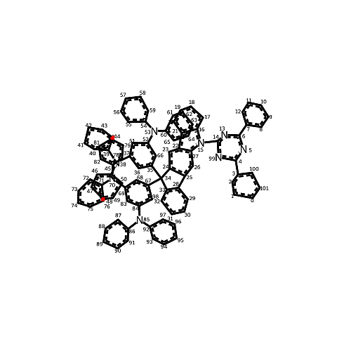 c1ccc(-c2nc(-c3ccccc3)nc(-n3c4ccccc4c4cc5c(cc43)-c3ccccc3C5(c3cc(N(c4ccccc4)c4ccccc4)cc(N(c4ccccc4)c4ccccc4)c3)c3cc(N(c4ccccc4)c4ccccc4)cc(N(c4ccccc4)c4ccccc4)c3)n2)cc1